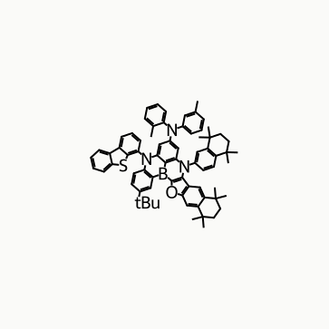 Cc1cccc(N(c2cc3c4c(c2)N(c2cccc5c2sc2ccccc25)c2ccc(C(C)(C)C)cc2B4c2oc4cc5c(cc4c2N3c2ccc3c(c2)C(C)(C)CCC3(C)C)C(C)(C)CCC5(C)C)c2ccccc2C)c1